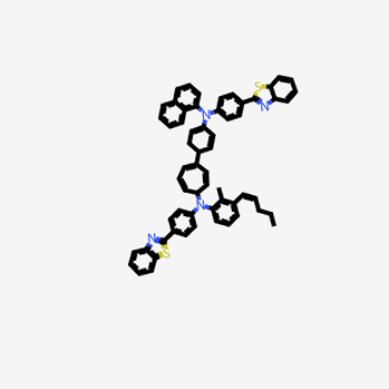 CCC/C=C\c1cccc(N(c2ccc(-c3nc4ccccc4s3)cc2)C2C=CC=C(C3C=CC(N(c4ccc(C5=NC6C=CC=CC6S5)cc4)c4cccc5ccccc45)=CC3)C=C2)c1C